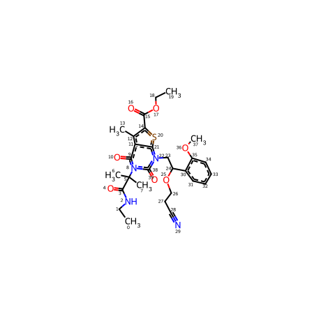 CCNC(=O)C(C)(C)n1c(=O)c2c(C)c(C(=O)OCC)sc2n(CC(OCCC#N)c2ccccc2OC)c1=O